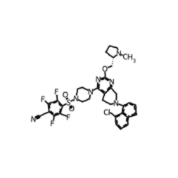 CN1CCC[C@H]1COc1nc2c(c(N3CCN(S(=O)(=O)c4c(F)c(F)c(C#N)c(F)c4F)CC3)n1)CCN(c1cccc3cccc(Cl)c13)C2